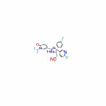 O=c1ccc(C2=N[C@@](c3ccc(F)cc3)(c3ccc(F)nc3)C(CO)N2)cn1C(F)F